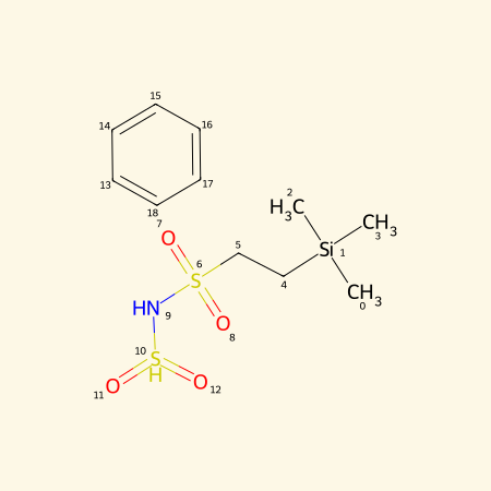 C[Si](C)(C)CCS(=O)(=O)N[SH](=O)=O.c1ccccc1